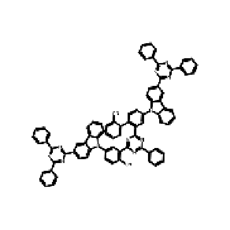 N#Cc1ccc(-n2c3ccccc3c3cc(-c4nc(-c5ccccc5)nc(-c5ccccc5)n4)ccc32)cc1-c1nc(-c2ccccc2)nc(-c2cc(-n3c4ccccc4c4cc(-c5nc(-c6ccccc6)nc(-c6ccccc6)n5)ccc43)ccc2-c2ccccc2C#N)n1